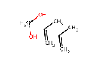 C=CC.C=CC.O[SiH2]O